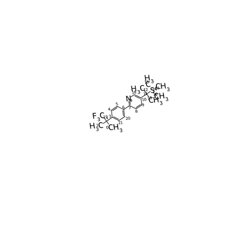 CC(C)(c1ccc(-c2ccc(C(C)(C)S(C)(C)C)cn2)cc1)C(F)(F)F